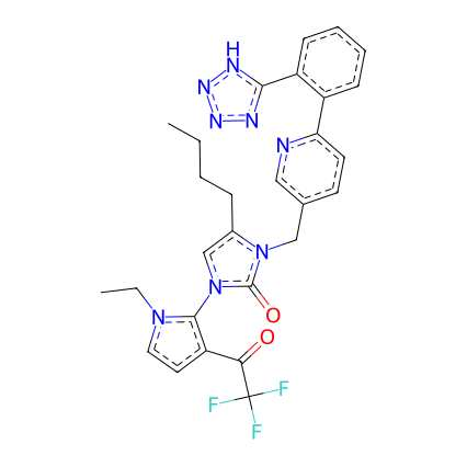 CCCCc1cn(-c2c(C(=O)C(F)(F)F)ccn2CC)c(=O)n1Cc1ccc(-c2ccccc2-c2nnn[nH]2)nc1